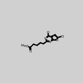 COC(=O)CCCCc1nc(Cl)c2cc(Cl)sc2n1